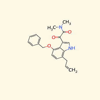 C=CCc1ccc(OCc2ccccc2)c2c(C(=O)C(=O)N(C)C)c[nH]c12